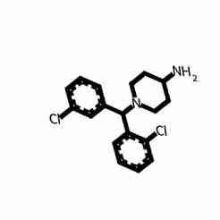 NC1CCN(C(c2cccc(Cl)c2)c2ccccc2Cl)CC1